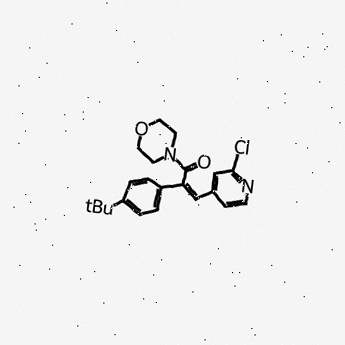 CC(C)(C)c1ccc(C(=Cc2ccnc(Cl)c2)C(=O)N2CCOCC2)cc1